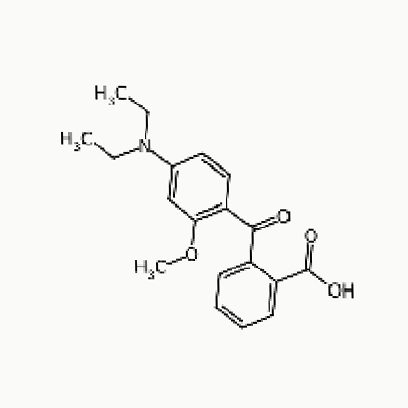 CCN(CC)c1ccc(C(=O)c2ccccc2C(=O)O)c(OC)c1